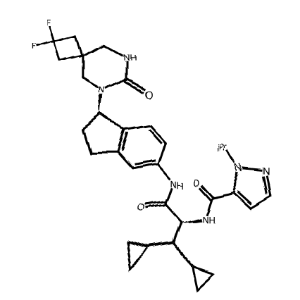 CC(C)n1nccc1C(=O)N[C@H](C(=O)Nc1ccc2c(c1)CC[C@H]2N1CC2(CNC1=O)CC(F)(F)C2)C(C1CC1)C1CC1